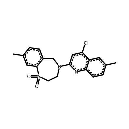 Cc1ccc2c(c1)S(=O)(=O)CCN(c1cc(Cl)c3cc(C)ccc3n1)C2